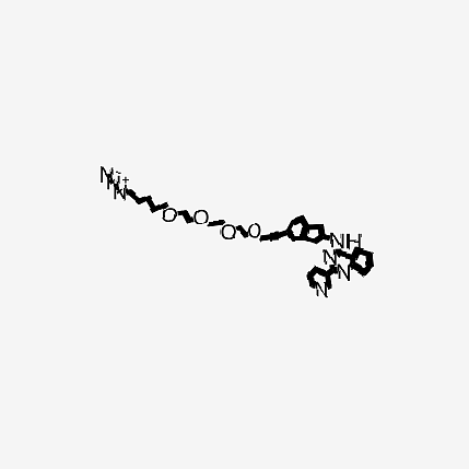 [N-]=[N+]=NCCCCCOCCOCCOCCOCC#Cc1ccc2c(c1)CC(Nc1nc(-c3cccnc3)nc3ccccc13)C2